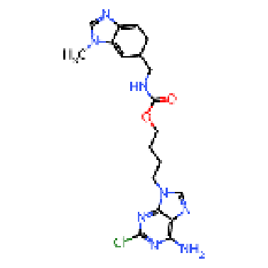 Cn1cnc2c1=CC(CNC(=O)OCCCCn1cnc3c(N)nc(Cl)nc31)CC=2